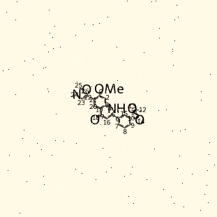 COc1cc2[nH]c(-c3cccc(S(C)(=O)=O)c3)cc(=O)c2cc1-c1cnco1